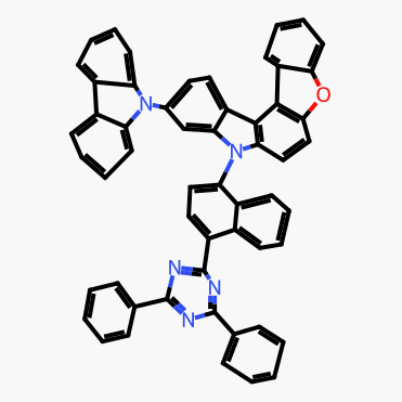 c1ccc(-c2nc(-c3ccccc3)nc(-c3ccc(-n4c5cc(-n6c7ccccc7c7ccccc76)ccc5c5c6c(ccc54)oc4ccccc46)c4ccccc34)n2)cc1